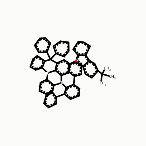 CC(C)(C)c1ccc2c(c1)c1ccccc1n2-c1cc2c3c(c1)C(c1ccccc1)(c1ccccc1)c1ccccc1B3c1ccccc1N2c1c(-c2ccccc2)cccc1-c1ccccc1